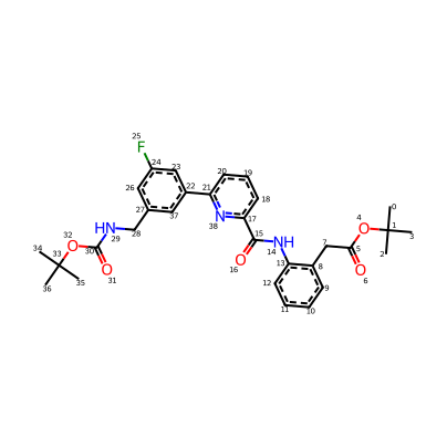 CC(C)(C)OC(=O)Cc1ccccc1NC(=O)c1cccc(-c2cc(F)cc(CNC(=O)OC(C)(C)C)c2)n1